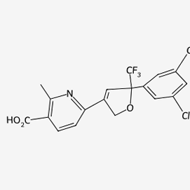 Cc1nc(C2=CC(c3cc(Cl)cc(Cl)c3)(C(F)(F)F)OC2)ccc1C(=O)O